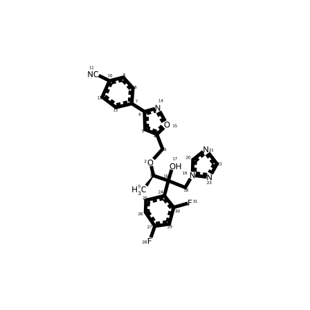 C[C@@H](OCc1cc(-c2ccc(C#N)cc2)no1)C(O)(Cn1cncn1)c1ccc(F)cc1F